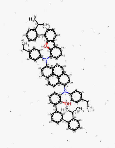 CCc1ccc(N(c2cccc(-c3cccc(-c4ccccc4C(C)C)c3)c2O)c2ccc3ccc4c(N(c5ccc(CC)cc5)c5cccc6c5oc5c(-c7ccccc7C(C)C)cccc56)ccc5ccc2c3c54)cc1